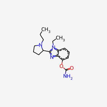 CCCN1CCCC1c1nc2c(OC(N)=O)cccc2n1CC